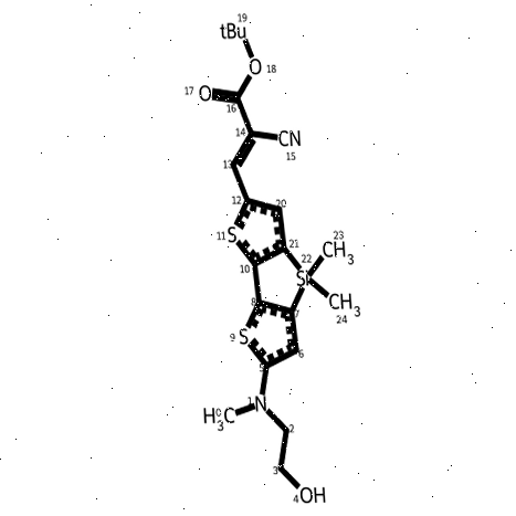 CN(CCO)c1cc2c(s1)-c1sc(/C=C(\C#N)C(=O)OC(C)(C)C)cc1[Si]2(C)C